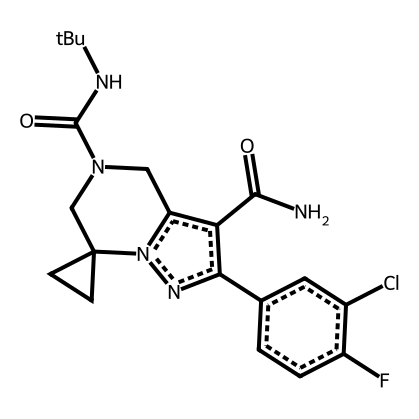 CC(C)(C)NC(=O)N1Cc2c(C(N)=O)c(-c3ccc(F)c(Cl)c3)nn2C2(CC2)C1